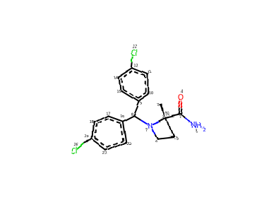 C[C@@]1(C(N)=O)[CH]CN1C(c1ccc(Cl)cc1)c1ccc(Cl)cc1